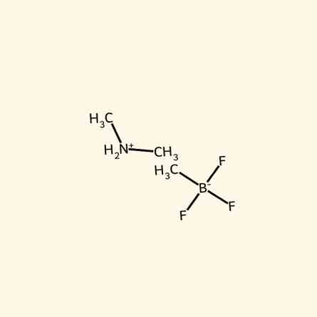 C[B-](F)(F)F.C[NH2+]C